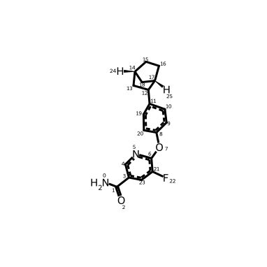 NC(=O)c1cnc(Oc2ccc(C3C[C@@H]4CC[C@H]3C4)cc2)c(F)c1